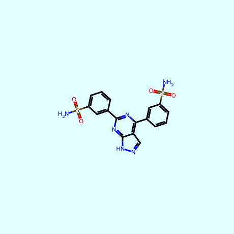 NS(=O)(=O)c1cccc(-c2nc(-c3cccc(S(N)(=O)=O)c3)c3cn[nH]c3n2)c1